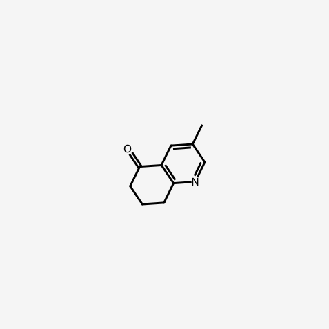 Cc1cnc2c(c1)C(=O)CCC2